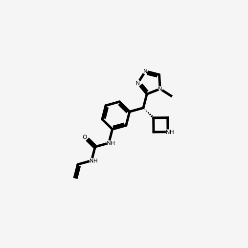 C=CNC(=O)Nc1cccc([C@H](c2nncn2C)C2CNC2)c1